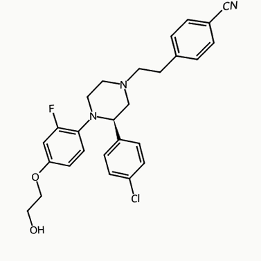 N#Cc1ccc(CCN2CCN(c3ccc(OCCO)cc3F)[C@H](c3ccc(Cl)cc3)C2)cc1